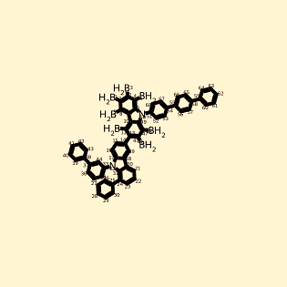 Bc1c(B)c(B)c2c(c1B)c1c(B)c(-c3ccc4c(c3)c3cccc(-c5ccccc5)c3n4-c3cccc(-c4ccccc4)c3)c(B)c(B)c1n2-c1ccc(-c2ccc(-c3ccccc3)cc2)cc1